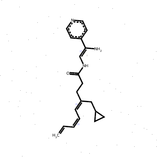 C=C/C=C\C=C(\CCC(=O)N/C=C(\N)c1ccncc1)CC1CC1